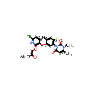 COC(=O)COc1nc(Cl)ccc1Oc1cc(-n2c(=O)cc(C(F)(F)F)n(C)c2=O)c(F)cc1[N+](=O)[O-]